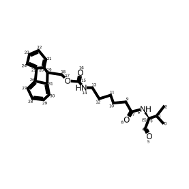 CC(C)[C@@H]([C]=O)NC(=O)CCCCCNC(=O)OCC1c2ccccc2-c2ccccc21